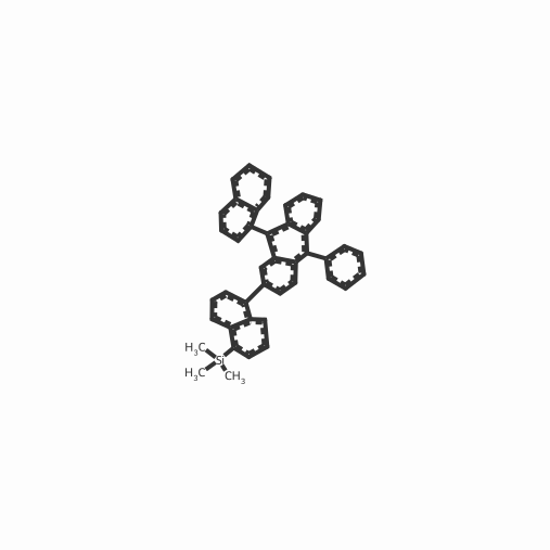 C[Si](C)(C)c1cccc2c(-c3ccc4c(-c5ccccc5)c5ccccc5c(-c5cccc6ccccc56)c4c3)cccc12